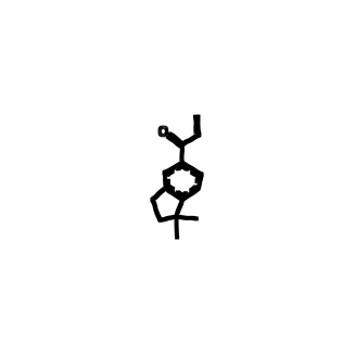 C=CC(=O)c1ccc2c(c1)CCC2(C)C